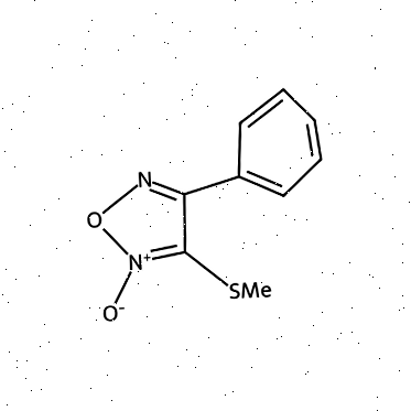 CSc1c(-c2ccccc2)no[n+]1[O-]